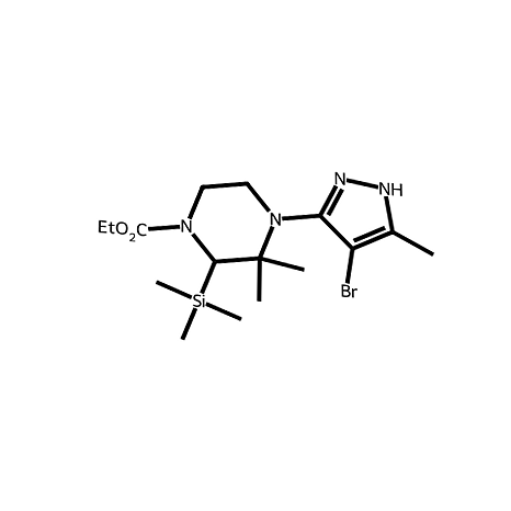 CCOC(=O)N1CCN(c2n[nH]c(C)c2Br)C(C)(C)C1[Si](C)(C)C